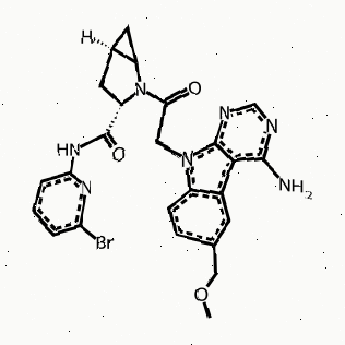 COCc1ccc2c(c1)c1c(N)ncnc1n2CC(=O)N1C2C[C@@H]2C[C@H]1C(=O)Nc1cccc(Br)n1